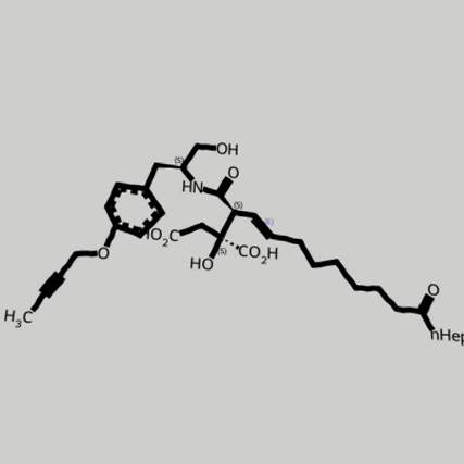 CC#CCOc1ccc(C[C@@H](CO)NC(=O)[C@@H](/C=C/CCCCCCC(=O)CCCCCCC)[C@@](O)(CC(=O)O)C(=O)O)cc1